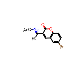 CC/C(=N\OC(C)=O)c1cc2cc(Br)ccc2oc1=O